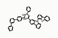 C1=C(c2ccc3c4ccccc4n(-c4cccc5c4oc4ccccc45)c3c2)NC(c2ccc(-c3cccc(-c4ccccc4)c3)cc2)NC1c1ccccc1